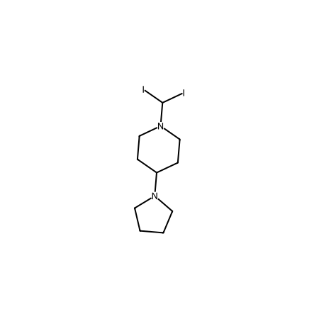 IC(I)N1CCC(N2CCCC2)CC1